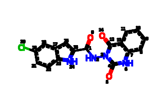 O=C(Nn1c(=O)[nH]c2ccccc2c1=O)c1cc2cc(Cl)ccc2[nH]1